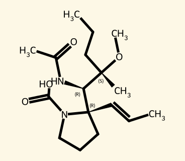 CC=C[C@@]1([C@@H](NC(C)=O)[C@](C)(CCC)OC)CCCN1C(=O)O